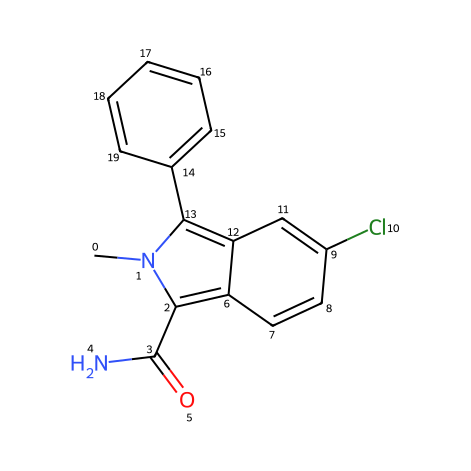 Cn1c(C(N)=O)c2ccc(Cl)cc2c1-c1ccccc1